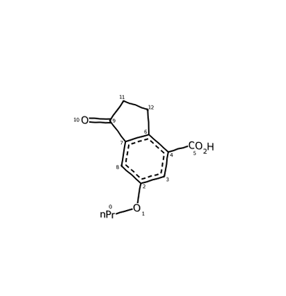 CCCOc1cc(C(=O)O)c2c(c1)C(=O)CC2